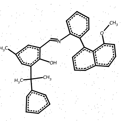 COc1cccc2cccc(-c3ccccc3/N=C/c3cc(C)cc(C(C)(C)c4ccccc4)c3O)c12